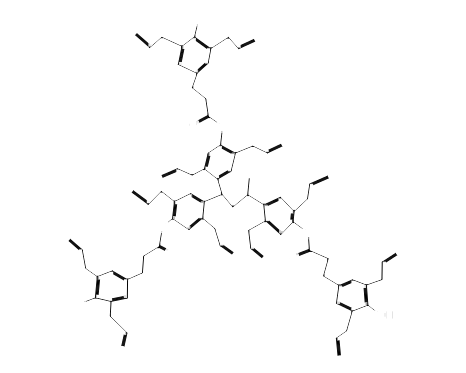 C=CCc1cc(C(C)CC(c2cc(CC=C)c(OC(=O)CCc3cc(CC=C)c(O)c(CC=C)c3)cc2CC=C)c2cc(CC=C)c(OC(=O)CCc3cc(CC=C)c(O)c(CC=C)c3)cc2CC=C)c(CC=C)cc1OC(=O)CCc1cc(CC=C)c(O)c(CC=C)c1